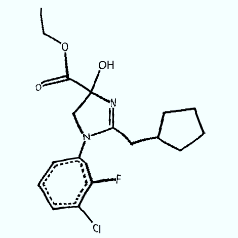 CCOC(=O)C1(O)CN(c2cccc(Cl)c2F)C(CC2CCCC2)=N1